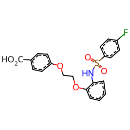 O=C(O)c1ccc(OCCOc2ccccc2NS(=O)(=O)c2ccc(F)cc2)cc1